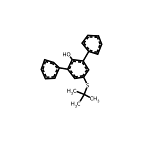 CC(C)(C)Sc1cc(-c2ccccc2)c(O)c(-c2ccccc2)c1